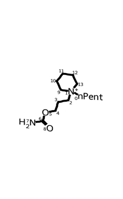 CCCCC[N+]1(CCCOC(N)=O)CCCCC1